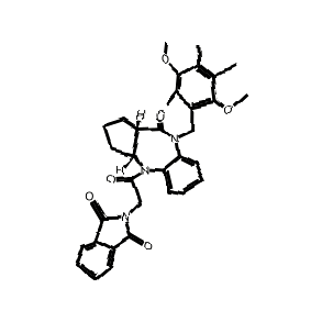 COc1c(C)c(C)c(OC)c(CN2C(=O)[C@H]3CCC[C@H]3N(C(=O)CN3C(=O)c4ccccc4C3=O)c3ccccc32)c1C